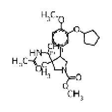 COC(=O)N1CC(c2ccc(OC)c(OC3CCCC3)c2)C(C)([C@H](C)NC(C)=O)C1